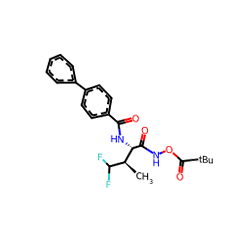 C[C@@H](C(F)F)[C@H](NC(=O)c1ccc(-c2ccccc2)cc1)C(=O)NOC(=O)C(C)(C)C